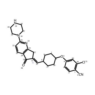 N#Cc1ccc(OC2CCC(/C=C3\Cc4nc(N5CCNCC5)ccc4C3=O)CC2)cc1Cl